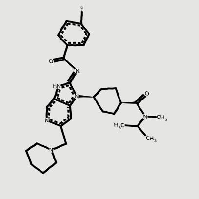 CC(C)N(C)C(=O)[C@H]1CC[C@@H](n2/c(=N/C(=O)c3ccc(F)cc3)[nH]c3cnc(CN4CCCCC4)cc32)CC1